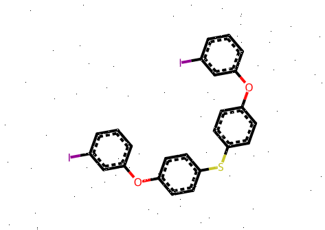 Ic1cccc(Oc2ccc(Sc3ccc(Oc4cccc(I)c4)cc3)cc2)c1